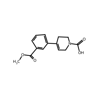 COC(=O)c1cccc(C2=CCN(C(=O)O)CC2)c1